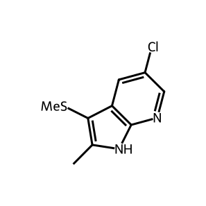 CSc1c(C)[nH]c2ncc(Cl)cc12